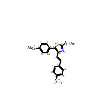 CSc1ccc(-c2sc(NC(C)=O)nc2/C=C/c2ccc([N+](=O)[O-])cc2)cc1